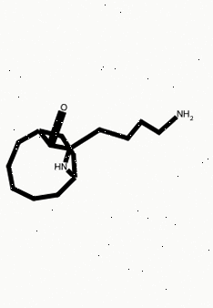 NCCCCC1NC2CCCCCC(CC2)C1=O